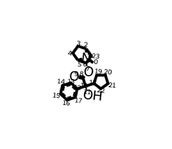 CN1C2CCC1[C@@H](OC(=O)[C@](O)(c1ccccc1)C1CCCC1)C2